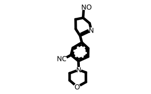 N#Cc1cc(C2=NCC(N=O)CC2)ccc1N1CCOCC1